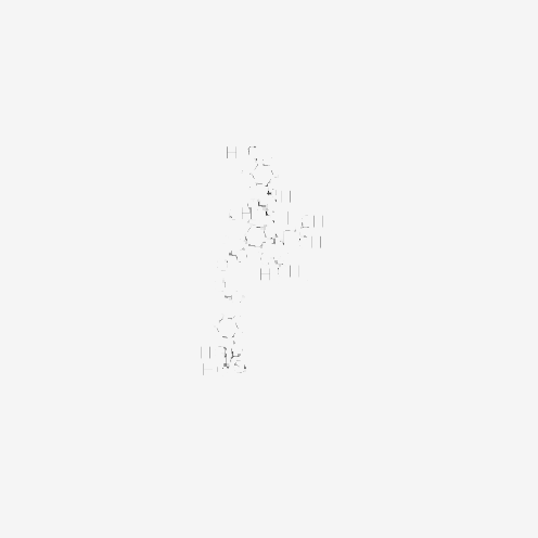 CCC(CC(=O)OCOC(=O)Cc1ccc(OP(=O)(O)O)cc1)c1ccc(N(CC(C)C)CC(C)C)c(NC(=O)Nc2ccc(C)cc2)c1